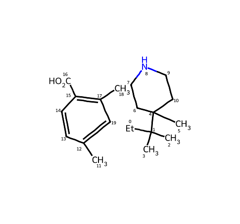 CCC(C)(C)C1(C)CCNCC1.Cc1ccc(C(=O)O)c(C)c1